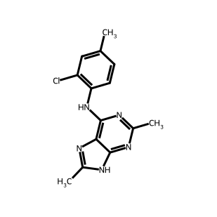 Cc1ccc(Nc2nc(C)nc3[nH]c(C)nc23)c(Cl)c1